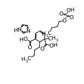 CCCCC1C(C(=O)O)=CC=CC1(C)C(=O)O.CCCCOS(=O)(=O)O.c1c[nH]cn1